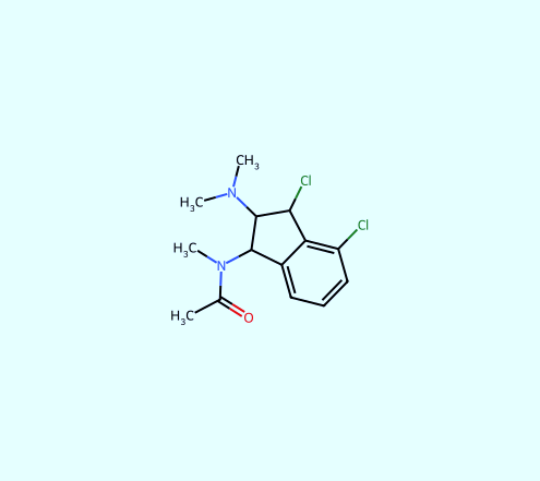 CC(=O)N(C)C1c2cccc(Cl)c2C(Cl)C1N(C)C